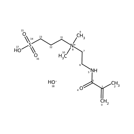 C=C(C)C(=O)NCC[N+](C)(C)CCCS(=O)(=O)O.[OH-]